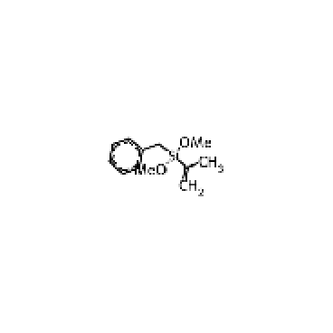 C=C(C)[Si](Cc1ccccc1)(OC)OC